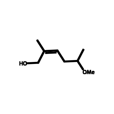 COC(C)CC=C(C)CO